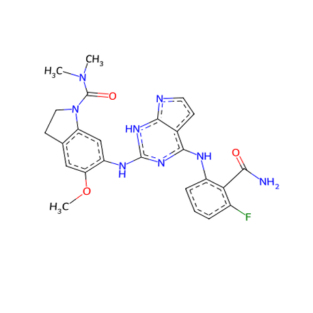 COc1cc2c(cc1Nc1nc(Nc3cccc(F)c3C(N)=O)c3ccnc-3[nH]1)N(C(=O)N(C)C)CC2